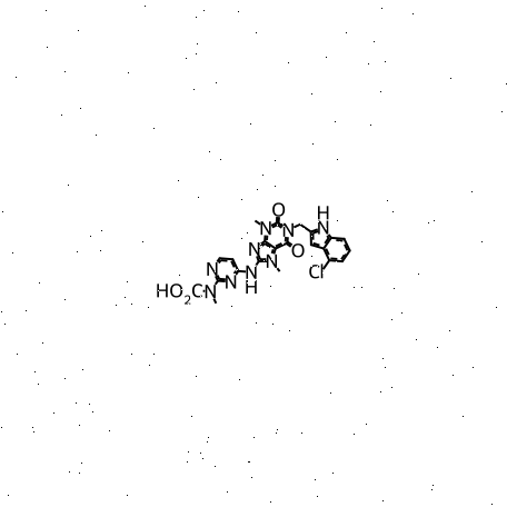 CN(C(=O)O)c1nccc(Nc2nc3c(c(=O)n(Cc4cc5c(Cl)cccc5[nH]4)c(=O)n3C)n2C)n1